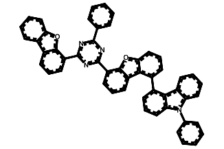 c1ccc(-c2nc(-c3cccc4c3oc3ccccc34)nc(-c3cccc4c3oc3cccc(-c5cccc6c5c5ccccc5n6-c5ccccc5)c34)n2)cc1